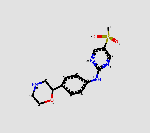 CS(=O)(=O)c1cnc(Nc2ccc(C3CNCCO3)cc2)nc1